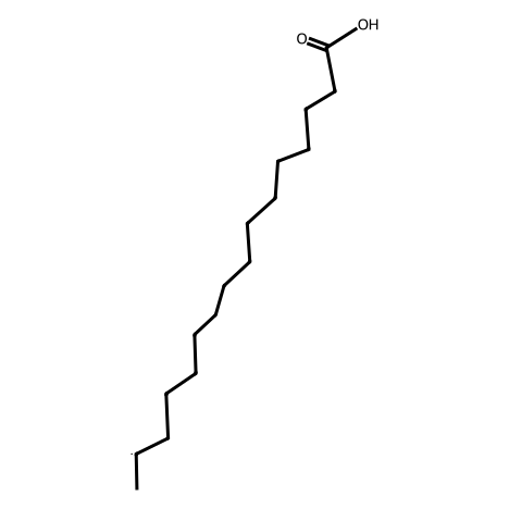 C[CH]CCCCCCCCCCCCCC(=O)O